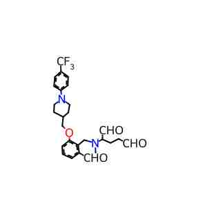 CN(Cc1c(C=O)cccc1OCC1CCN(c2ccc(C(F)(F)F)cc2)CC1)C(C=O)CCC=O